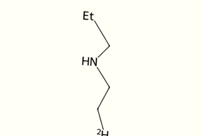 [2H]CCNCCC